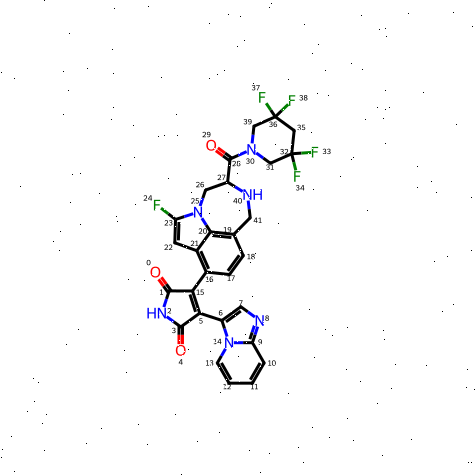 O=C1NC(=O)C(c2cnc3ccccn23)=C1c1ccc2c3c1cc(F)n3CC(C(=O)N1CC(F)(F)CC(F)(F)C1)NC2